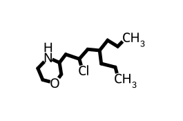 CCCC(CCC)CC(Cl)CC1COCCN1